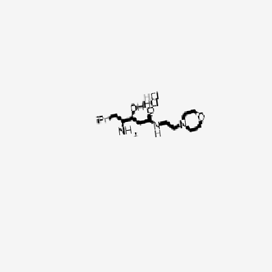 CC(C)C[C@H](N)[C@@H](O)CC(=O)NCCN1CCOCC1.Cl.Cl